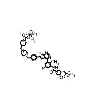 Cc1c(NC(=O)N2C[C@H](CC(C)C)[C@@H](O)C2)cc(F)cc1-c1ncnc2[nH]c(-c3ccc(CN4CCN(CC5CCN(C(=O)OC(C)(C)C)CC5)CC4)cc3)cc12